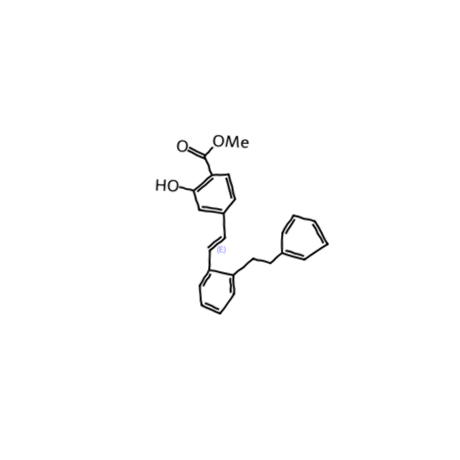 COC(=O)c1ccc(/C=C/c2ccccc2CCc2ccccc2)cc1O